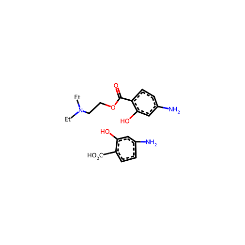 CCN(CC)CCOC(=O)c1ccc(N)cc1O.Nc1ccc(C(=O)O)c(O)c1